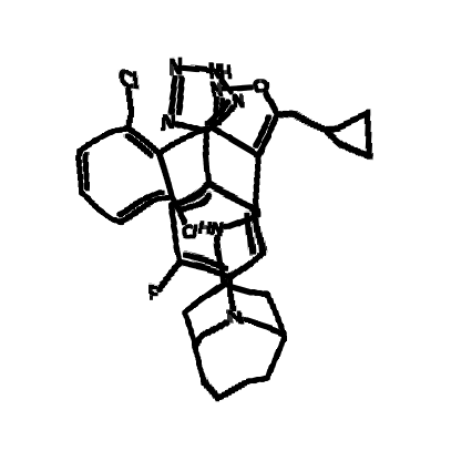 Fc1cc(-c2nn[nH]n2)ccc1N1C2CCC1CC(NCc1c(-c3c(Cl)cccc3Cl)noc1C1CC1)C2